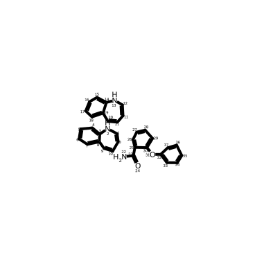 C1=CNc2ccccc2C=C1.C1=CNc2ccccc2C=C1.NC(=O)c1ccccc1Oc1ccccc1